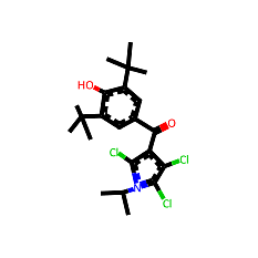 CC(C)n1c(Cl)c(Cl)c(C(=O)c2cc(C(C)(C)C)c(O)c(C(C)(C)C)c2)c1Cl